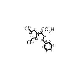 O=C(O)C(CCc1ccccc1)N(CCCl)CCCl